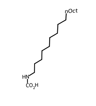 [CH2]CCCCCCCCCCCCCCCCNC(=O)O